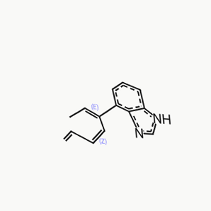 C=C/C=C\C(=C/C)c1cccc2[nH]cnc12